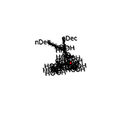 CCCCCCCCCCCCC/C=C/[C@@H](O)[C@H](CO[C@@H]1OC(CO)[C@@H](O[C@@H]2OC(CO[C@@H]3OC(CO)[C@@H](O[C@@H]4OC(CO)[C@H](O)[C@H](O)C4O)[C@H](O)C3NC(C)=O)[C@H](O)[C@H](O[C@H]3OC(CO)[C@H](O)[C@H](O)C3O)C2O)[C@H](O)C1O)NC(=O)CCCCCCCCCCCCCCCCC